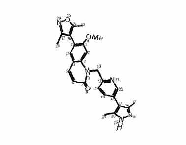 COc1cc2c(ccc(=O)n2Cc2ccc(-c3c(C)n[nH]c3C)cn2)cc1-c1c(C)noc1C